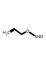 C=CCO[SH]=O